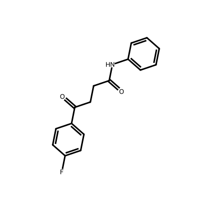 O=C(CCC(=O)c1ccc(F)cc1)Nc1ccccc1